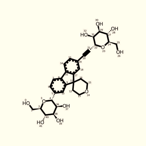 OC[C@H]1O[C@H](c2ccc3c(c2)C2(CCOCC2)c2cc(C#C[C@H]4O[C@H](CO)[C@@H](O)[C@H](O)[C@@H]4O)ccc2-3)[C@@H](O)[C@@H](O)[C@@H]1O